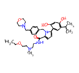 CCOCCN(C)CCNC(=O)c1ccc(-c2cc(C(C)C)c(O)cc2O)n1Cc1ccc(CN2CCOCC2)cc1